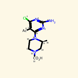 CC(=O)c1c(Cl)nc(N)nc1N1CCN(C(=O)O)C[C@@H]1C